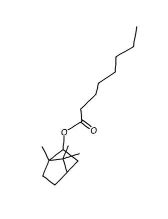 CCCCCCCC(=O)OC1CC2CCC1(C)C2(C)C